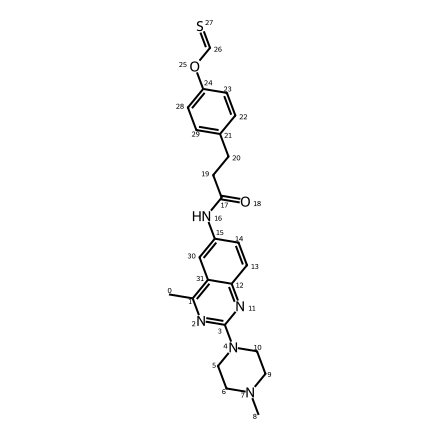 Cc1nc(N2CCN(C)CC2)nc2ccc(NC(=O)CCc3ccc(OC=S)cc3)cc12